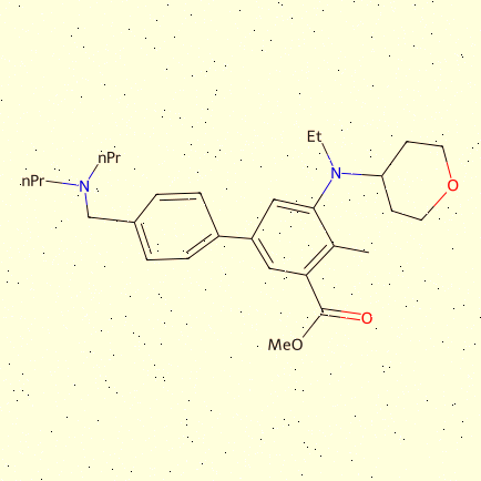 CCCN(CCC)Cc1ccc(-c2cc(C(=O)OC)c(C)c(N(CC)C3CCOCC3)c2)cc1